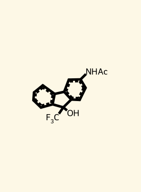 CC(=O)Nc1ccc2c(c1)-c1ccccc1C2(O)C(F)(F)F